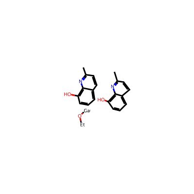 CC[O][Ga].Cc1ccc2cccc(O)c2n1.Cc1ccc2cccc(O)c2n1